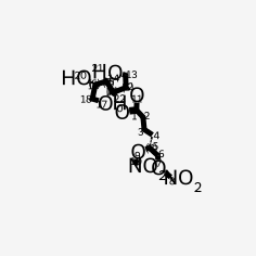 O=C(CCC[C@H](CO[N+](=O)[O-])O[N+](=O)[O-])O[C@H]1CO[C@H]2[C@@H]1OC[C@@H]2O